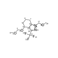 COCOC1CCCc2c1c(C(F)(F)F)nn2COC